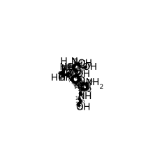 NC1CC1(O)C(=O)N[C@@H]1C[C@H](N)C(O[C@H]2O[C@H](CNCCCO)CC[C@H]2N)[C@H](O)[C@H]1O[C@H]1O[C@H](CO)[C@@H](O)[C@H](N)[C@H]1O